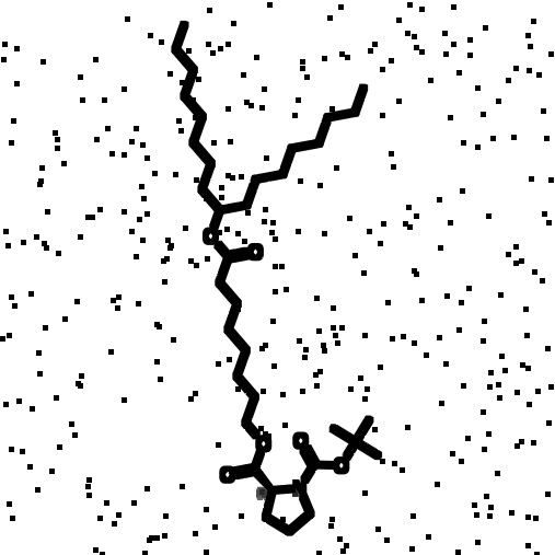 CCCCCCCCC(CCCCCCCC)OC(=O)CCCCCCCOC(=O)[C@@H]1CCCN1C(=O)OC(C)(C)C